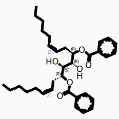 CCCCC/C=C\C[C@@H](OC(=O)c1ccccc1)[C@H](O)[C@H](O)[C@@H](C/C=C\CCCCC)OC(=O)c1ccccc1